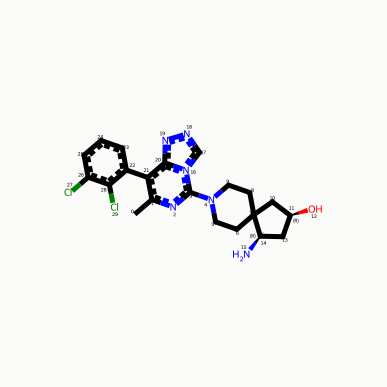 Cc1nc(N2CCC3(CC2)C[C@@H](O)C[C@H]3N)n2cnnc2c1-c1cccc(Cl)c1Cl